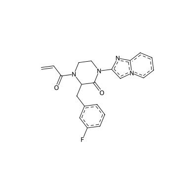 C=CC(=O)N1CCN(c2cn3ccccc3n2)C(=O)C1Cc1cccc(F)c1